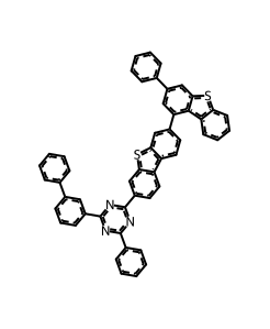 c1ccc(-c2cccc(-c3nc(-c4ccccc4)nc(-c4ccc5c(c4)sc4cc(-c6cc(-c7ccccc7)cc7sc8ccccc8c67)ccc45)n3)c2)cc1